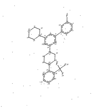 Fc1cccc(-c2cc(N3CCOCC3)nc(N3CCN(c4ncccc4C(F)(F)F)CC3)n2)c1